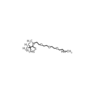 CNCCOCCOCCOCCN(C)C(SS)C(C)(C)C